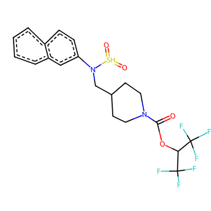 O=C(OC(C(F)(F)F)C(F)(F)F)N1CCC(CN(c2ccc3ccccc3c2)[SH](=O)=O)CC1